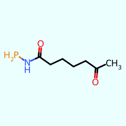 CC(=O)CCCCC(=O)NP